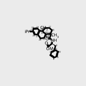 COC(=O)[C@H](Cc1ccccc1)NC(=O)[C@]1(C)CCC[C@]2(C)c3ccc(C(C)C)cc3CC[C@@H]12